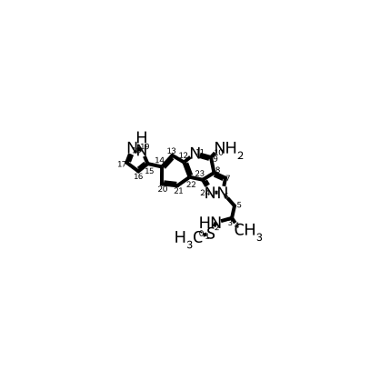 CSNC(C)Cn1cc2c(N)nc3cc(-c4ccn[nH]4)ccc3c2n1